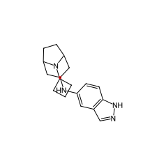 c1cc2[nH]ncc2cc1NC1CC2CCC(C1)N2C1CCC1